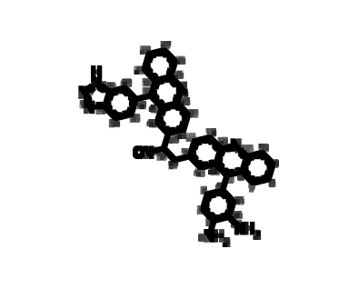 Nc1ccc(-c2c3ccccc3nc3ccc(CC(N=O)c4ccc5nc6ccccc6c(-c6ccc7nn[nH]c7c6)c5c4)cc23)cc1N